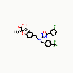 CC(C)(Oc1ccc(CCN(Cc2ccc(C(F)(F)F)cc2)c2noc(-c3cccc(Cl)c3)n2)cc1)C(=O)O